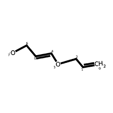 C=CCOC=CC[O]